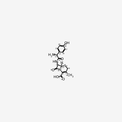 CC1=C(C(=O)O)N2C(=O)C(NC(=O)C(N)c3ccc(O)cc3)[C@@H]2SC1